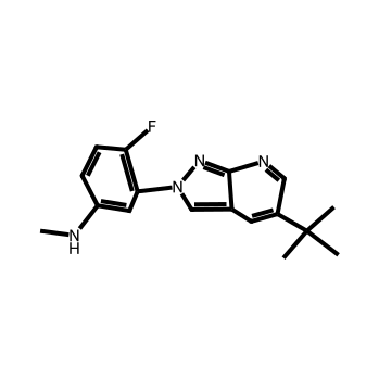 CNc1ccc(F)c(-n2cc3cc(C(C)(C)C)cnc3n2)c1